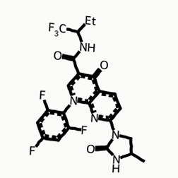 CCC(NC(=O)c1cn(-c2c(F)cc(F)cc2F)c2nc(N3CC(C)NC3=O)ccc2c1=O)C(F)(F)F